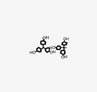 CC(c1ccc(O)cc1)(c1ccc(O)cc1)c1ccc(O)cc1.Oc1ccc(C(c2ccc(O)cc2)c2ccc(O)cc2)cc1